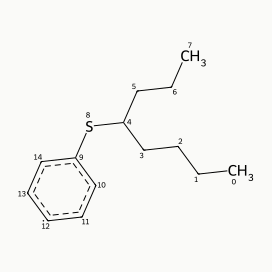 CCCCC(CCC)Sc1cc[c]cc1